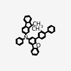 CC1(C)c2ccccc2-c2ccc(N(c3ccccc3)c3cc(-c4ccc(-c5ccccc5)cc4)c4oc5ccccc5c4c3)cc21